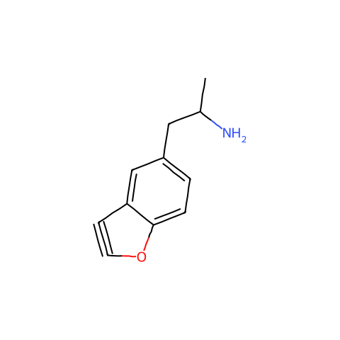 CC(N)Cc1ccc2oc#cc2c1